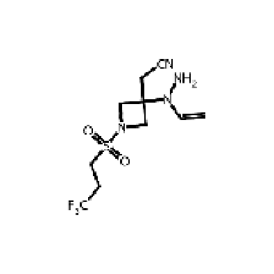 C=CN(N)C1(CC#N)CN(S(=O)(=O)CCC(F)(F)F)C1